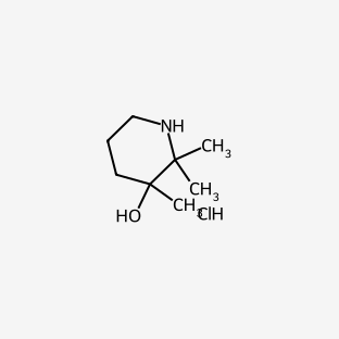 CC1(O)CCCNC1(C)C.Cl